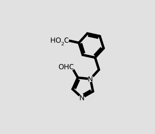 O=Cc1cncn1Cc1cccc(C(=O)O)c1